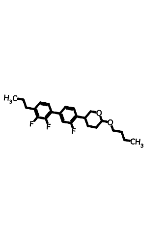 CCCCOC1CCC(c2ccc(-c3ccc(CCC)c(F)c3F)cc2F)CO1